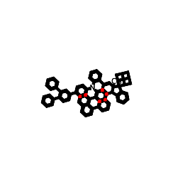 CC12C=C(c3ccccc3N(c3ccc(-c4ccc(-c5ccccc5)c(-c5ccccc5)c4)cc3)c3ccccc3-c3cccc4cccc(-c5ccccc5)c34)C=CC1c1ccccc1C21C2CC3CC4CC1C342